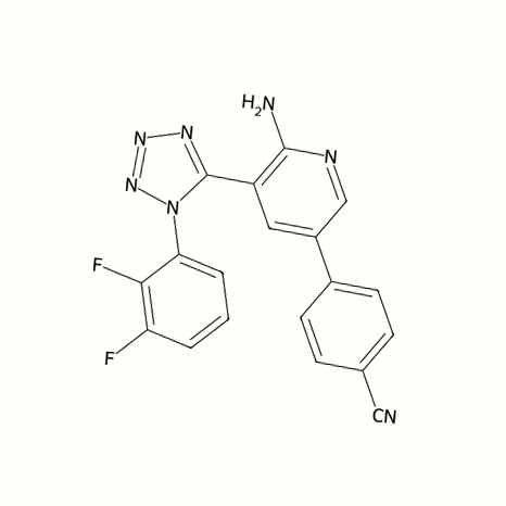 N#Cc1ccc(-c2cnc(N)c(-c3nnnn3-c3cccc(F)c3F)c2)cc1